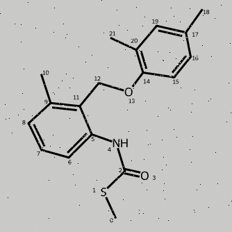 CSC(=O)Nc1cccc(C)c1COc1ccc(C)cc1C